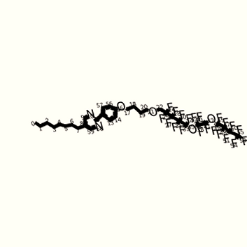 CCCCCCCCc1cnc(-c2ccc(OCCCCOCC(F)(F)C(F)(F)C(F)(F)C(F)(F)OC(F)(F)C(F)(F)OC(F)(F)C(F)(F)C(F)(F)C(F)(F)F)cc2)nc1